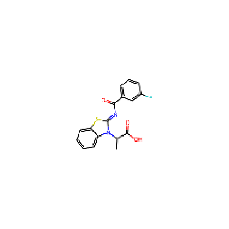 CC(C(=O)O)n1c(=NC(=O)c2cccc(F)c2)sc2ccccc21